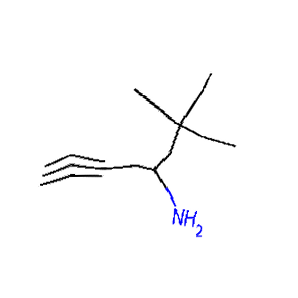 C#CC(N)C(C)(C)C